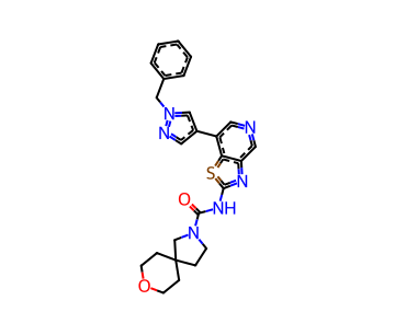 O=C(Nc1nc2cncc(-c3cnn(Cc4ccccc4)c3)c2s1)N1CCC2(CCOCC2)C1